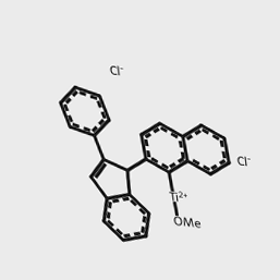 C[O][Ti+2][c]1c(C2C(c3ccccc3)=Cc3ccccc32)ccc2ccccc12.[Cl-].[Cl-]